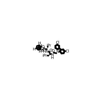 CC(C)C[C@H](NC(=O)[C@H](CC(C)C)NC(=O)Cn1c2ccc(Cl)cc2c2cc(Cl)ccc21)B1O[C@@H]2C[C@@H]3C[C@@H](C3(C)C)[C@]2(C)O1